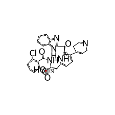 O=C(N[C@@H](CC1=CC=C(C2=CCN=CC2)[C@H](C(=O)c2nc3ccccc3[nH]2)N1)C(=O)O)c1c(Cl)cccc1Cl